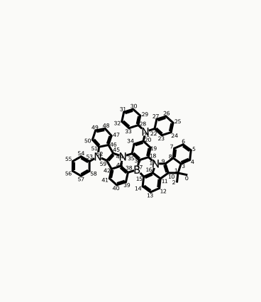 CC1(C)c2ccccc2-c2c1c1cccc3c1n2-c1cc(N(c2ccccc2)c2ccccc2)cc2c1B3c1cccc3c1n-2c1c2ccccc2n(-c2ccccc2)c31